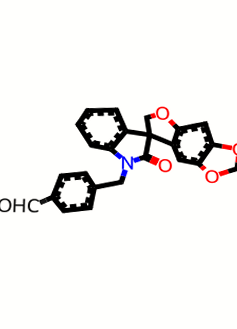 O=Cc1ccc(CN2C(=O)C3(COc4cc5c(cc43)OCO5)c3ccccc32)cc1